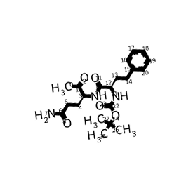 CC(=O)[C@H](CCC(N)=O)NC(=O)[C@@H](CCc1ccccc1)NC(=O)OC(C)(C)C